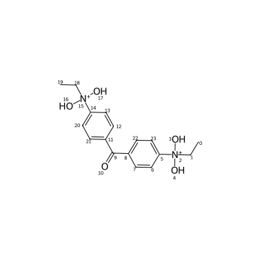 CC[N+](O)(O)c1ccc(C(=O)c2ccc([N+](O)(O)CC)cc2)cc1